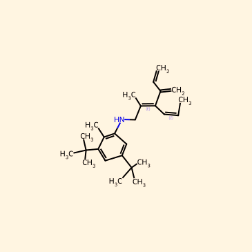 C=CC(=C)C(/C=C\C)=C(\C)CNc1cc(C(C)(C)C)cc(C(C)(C)C)c1C